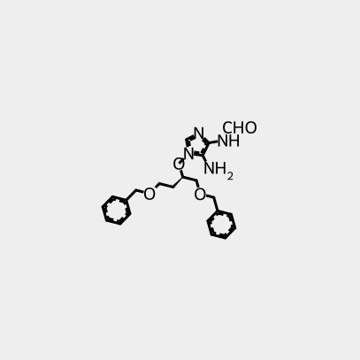 Nc1c(NC=O)ncn1O[C@H](CCOCc1ccccc1)COCc1ccccc1